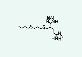 CCCCSCCCSCC(CCc1nnn[nH]1)c1nnn[nH]1